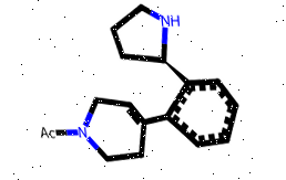 CC(=O)N1CC=C(c2ccccc2[C@H]2CCCN2)CC1